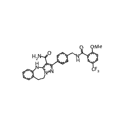 COc1ccc(C(F)(F)F)cc1C(=O)NCc1ccc(-c2nn3c(c2C(N)=O)Nc2ccccc2CC3)cc1